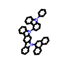 c1ccc(-n2c3ccccc3c3c(-n4c5ccccc5c5cc6c7ccccc7n(-c7cc8ccccc8c8ccccc78)c6cc54)cccc32)cc1